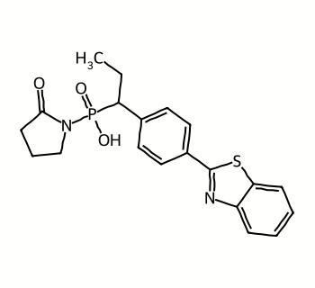 CCC(c1ccc(-c2nc3ccccc3s2)cc1)P(=O)(O)N1CCCC1=O